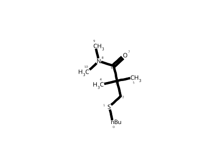 CCCCSCC(C)(C)C(=O)N(C)C